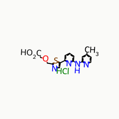 Cc1ccnc(Nc2cccc(-c3cnc(COCC(=O)O)s3)n2)c1.Cl